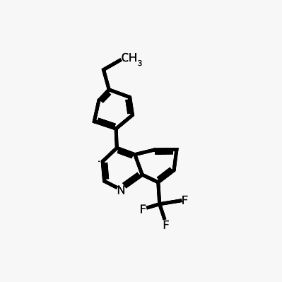 CCc1ccc(-c2[c]cnc3c(C(F)(F)F)cccc23)cc1